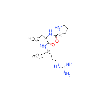 N=C(N)NCCC[C@H](NC(=O)[C@H](CC(=O)O)NC(=O)[C@@H]1CCCN1)C(=O)O